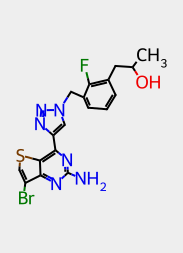 CC(O)Cc1cccc(Cn2cc(-c3nc(N)nc4c(Br)csc34)nn2)c1F